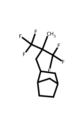 CC(CC1CC2CCC1C2)(C(F)(F)F)C(F)(F)F